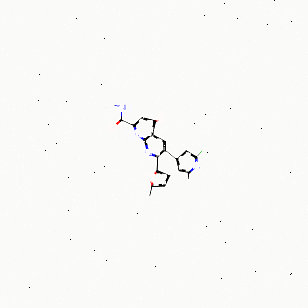 CNC(=O)c1cc(=O)c2cc(-c3cc(C)nc(Cl)c3)c(-c3ccc(C)o3)nc2[nH]1